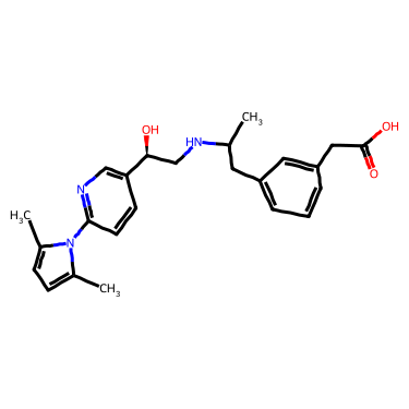 Cc1ccc(C)n1-c1ccc([C@@H](O)CNC(C)Cc2cccc(CC(=O)O)c2)cn1